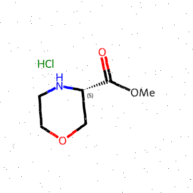 COC(=O)[C@@H]1COCCN1.Cl